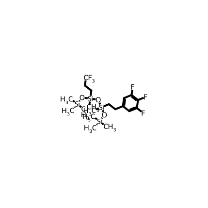 C[Si](C)(C)O[Si](C)(CCc1cc(F)c(F)c(F)c1)O[Si](C)(CCC(F)(F)F)O[Si](C)(C)C